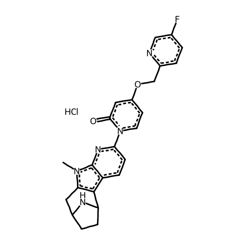 Cl.Cn1c2c(c3ccc(-n4ccc(OCc5ccc(F)cn5)cc4=O)nc31)C1CCC(C2)N1